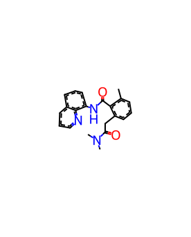 Cc1cccc(CC(=O)N(C)C)c1C(=O)Nc1cccc2cccnc12